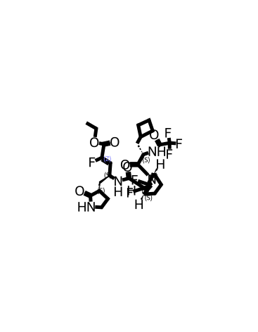 CCOC(=O)/C(F)=C/[C@H](C[C@@H]1CCNC1=O)NC(=O)[C@@H]1[C@@H]2CC[C@@H](CC2(F)F)N1C(=O)[C@H](CC1CCC1)NC(=O)C(F)(F)F